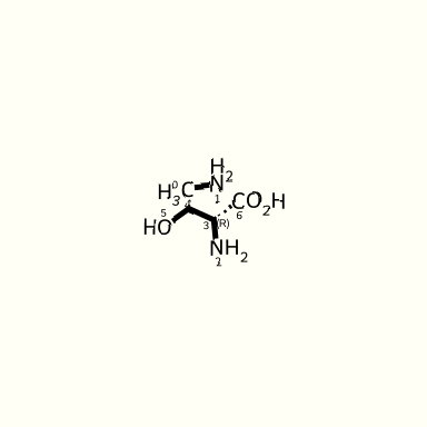 CN.N[C@H](CO)C(=O)O